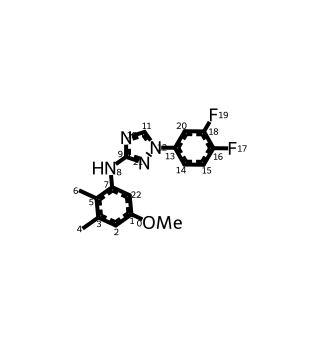 COc1cc(C)c(C)c(Nc2ncn(-c3ccc(F)c(F)c3)n2)c1